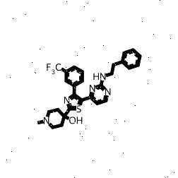 CN1CCC(O)(c2nc(-c3cccc(C(F)(F)F)c3)c(-c3ccnc(NCCc4ccccc4)n3)s2)CC1